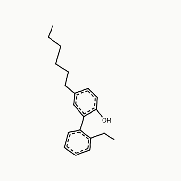 CCCCCCc1ccc(O)c(-c2ccccc2CC)c1